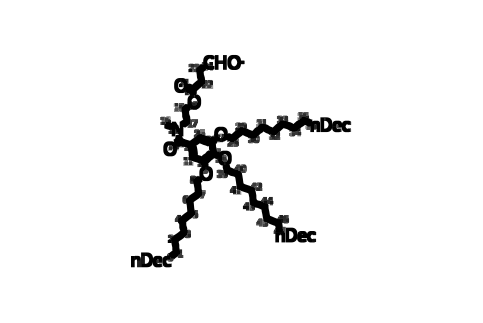 CCCCCCCCCCCCCCCCCCOc1cc(C(=O)N(C)CCOC(=O)CC[C]=O)cc(OCCCCCCCCCCCCCCCCCC)c1OCCCCCCCCCCCCCCCCCC